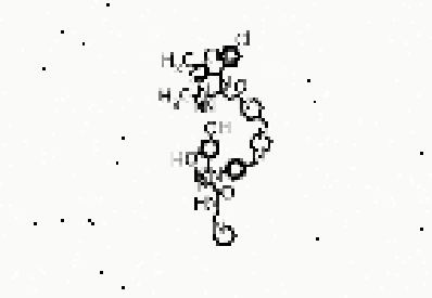 Cc1sc2c(c1C)C(c1ccc(Cl)cc1)=N[C@@H](CC(=O)N1CCC(CN3CCN(Cc4ccc(-n5c(C(=O)NCCN6CCCCC6)nnc5-c5ccc(O)cc5O)cc4)CC3)CC1)c1nnc(C)n1-2